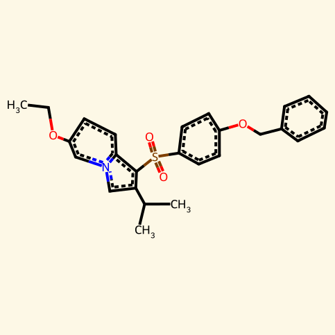 CCOc1ccc2c(S(=O)(=O)c3ccc(OCc4ccccc4)cc3)c(C(C)C)cn2c1